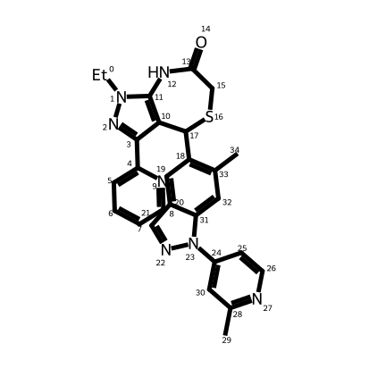 CCn1nc(-c2ccccn2)c2c1NC(=O)CSC2c1cc2cnn(-c3ccnc(C)c3)c2cc1C